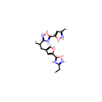 CCc1noc(-c2cc(CC(C)c3noc(-c4cc(C)no4)n3)co2)n1